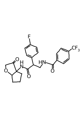 O=C(NCC(C(=O)NC12CCCC1OCC2=O)c1ccc(F)cc1)c1ccc(C(F)(F)F)cc1